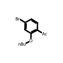 CCCCOc1cc(Br)ccc1C(C)=O